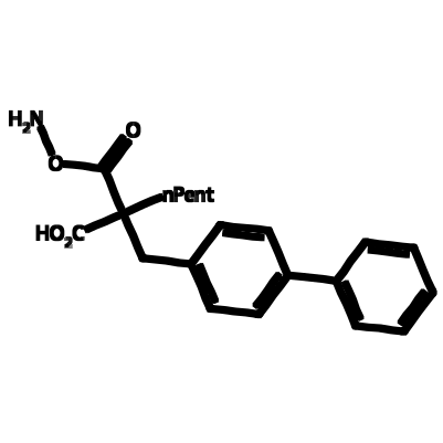 CCCCCC(Cc1ccc(-c2ccccc2)cc1)(C(=O)O)C(=O)ON